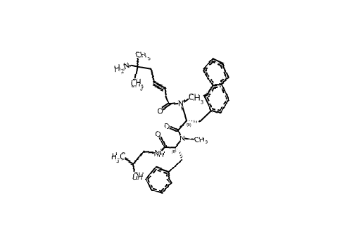 CC(O)CNC(=O)[C@@H](Cc1ccccc1)N(C)C(=O)[C@@H](Cc1ccc2ccccc2c1)N(C)C(=O)C=CCC(C)(C)N